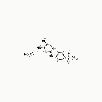 NS(=O)(=O)c1ccc(Nc2ncc(Br)c(NCCC(=O)O)n2)cc1